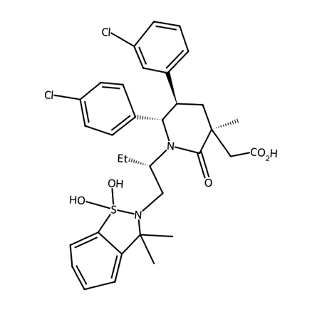 CC[C@@H](CN1C(C)(C)c2ccccc2S1(O)O)N1C(=O)[C@](C)(CC(=O)O)C[C@H](c2cccc(Cl)c2)[C@H]1c1ccc(Cl)cc1